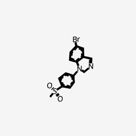 CS(=O)(=O)c1ccc(N2CN=Cc3cc(Br)ccc32)cc1